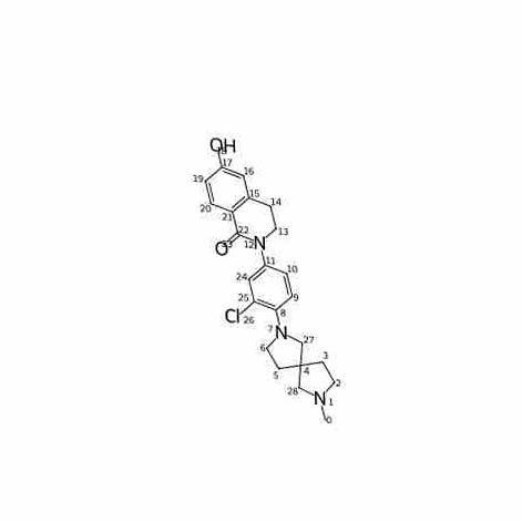 CN1CCC2(CCN(c3ccc(N4CCc5cc(O)ccc5C4=O)cc3Cl)C2)C1